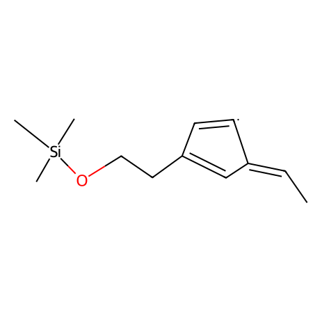 CC=C1[C]=CC(CCO[Si](C)(C)C)=C1